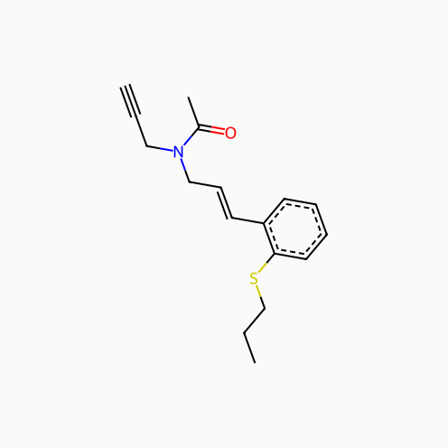 C#CCN(C/C=C/c1ccccc1SCCC)C(C)=O